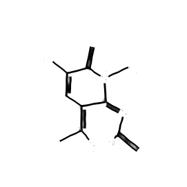 C=C(N)/N=C1\C(=C(\C)N)C=C(Br)C(=O)N1CC